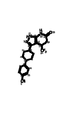 N#Cc1ccc(N2CCC(c3n[nH]c4c3C(C(F)(F)F)CC(=O)N4)CC2)cc1